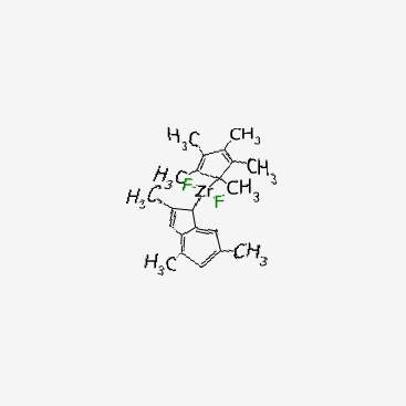 CC1=Cc2c(C)cc(C)cc2[CH]1[Zr]([F])([F])[C]1(C)C(C)=C(C)C(C)=C1C